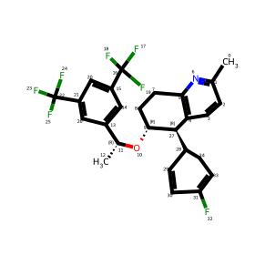 Cc1ccc2c(n1)CC[C@@H](O[C@H](C)c1cc(C(F)(F)F)cc(C(F)(F)F)c1)[C@@H]2C1C=CC(F)=CC1